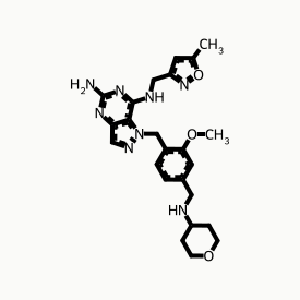 COc1cc(CNC2CCOCC2)ccc1Cn1ncc2nc(N)nc(NCc3cc(C)on3)c21